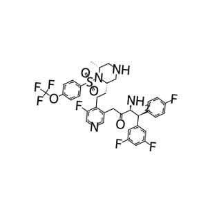 C[C@@H]1CNC[C@H](CCc2c(F)cncc2CC(=O)[C@@H](N)[C@@H](c2ccc(F)cc2)c2cc(F)cc(F)c2)N1S(=O)(=O)c1ccc(OC(F)(F)F)cc1